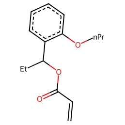 C=CC(=O)OC(CC)c1ccccc1OCCC